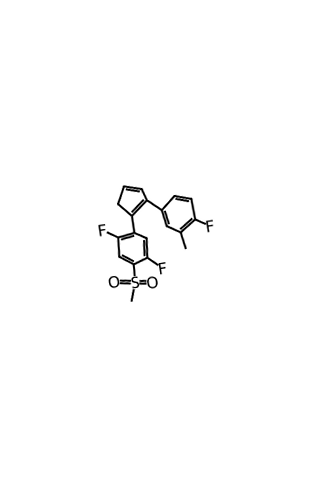 Cc1cc(C2=C(c3cc(F)c(S(C)(=O)=O)cc3F)CC=C2)ccc1F